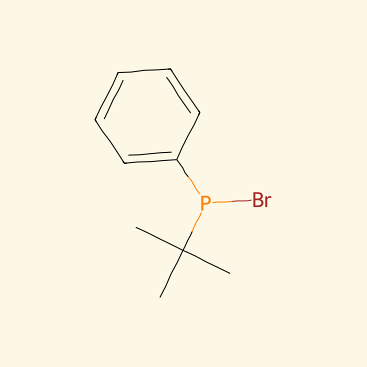 CC(C)(C)P(Br)c1ccccc1